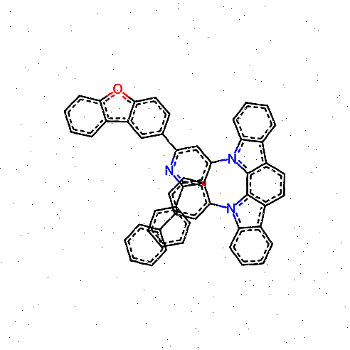 c1ccc(-c2cccc(-n3c4ccccc4c4ccc5c6ccccc6n(-c6cc(-c7ccccc7)nc(-c7ccc8oc9ccccc9c8c7)c6)c5c43)c2)cc1